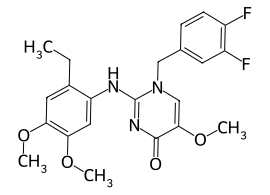 CCc1cc(OC)c(OC)cc1Nc1nc(=O)c(OC)cn1Cc1ccc(F)c(F)c1